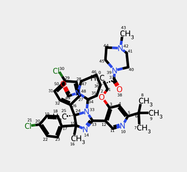 CCOc1cc(C(C)(C)C)ncc1C1=NC(C)(c2ccc(Cl)cc2)[C@@](C)(c2ccc(Cl)cc2)N1C1C[C@@H](C(=O)N2CCN(C)CC2)CCN1C=O